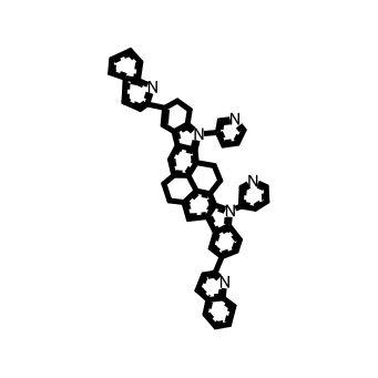 C1=C(c2ccc3ccccc3n2)CCc2c1c1cc3c4c(c1n2-c1cccnc1)CCc1c-4c(cc2c4cc(-c5ccc6ccccc6n5)ccc4n(-c4cccnc4)c12)CC3